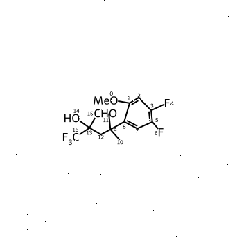 COc1cc(F)c(F)cc1C(C)(C)CC(O)(C=O)C(F)(F)F